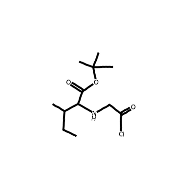 CCC(C)C(NCC(=O)Cl)C(=O)OC(C)(C)C